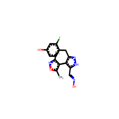 Cc1noc(C)c1-c1c(Cc2ccc(O)cc2F)n[nH]c1C=NO